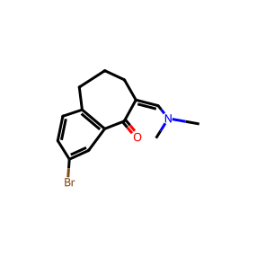 CN(C)/C=C1/CCCc2ccc(Br)cc2C1=O